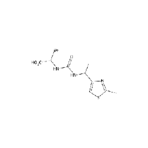 Cc1nc(C(C)NC(=O)N[C@H](C(=O)O)C(C)C)cs1